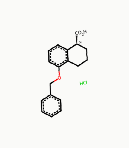 Cl.O=C(O)[C@H]1CCCc2c(OCc3ccccc3)cccc21